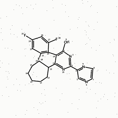 Oc1nc(-c2cnccn2)nc(C2CCCCCC2)c1-c1c(F)cc(F)cc1F